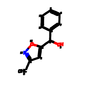 O=Cc1cc(C(O)c2ccccc2)on1